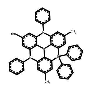 Cc1cc2c3c(c1)[Si](c1ccccc1)(c1ccccc1)c1cc(C)cc4c1B3c1c(cc(C(C)(C)C)cc1N4c1ccccc1)N2c1ccccc1